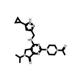 CC(=O)N1CCN(c2nc(NCc3cc(C4CC4)[nH]n3)c3c(n2)C(=O)N(C(C)C)C3)CC1